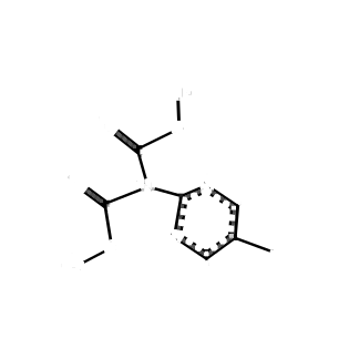 CC(C)(C)OC(=O)N(C(=O)OC(C)(C)C)c1ncc(I)cn1